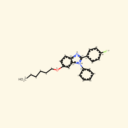 O=C(O)CCCCCOc1ccc2nc(-c3ccc(F)cc3)n(-c3ccccc3)c2c1